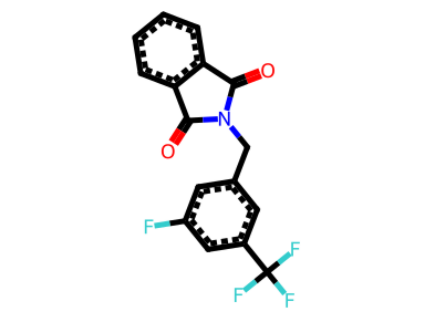 O=C1c2ccccc2C(=O)N1Cc1cc(F)cc(C(F)(F)F)c1